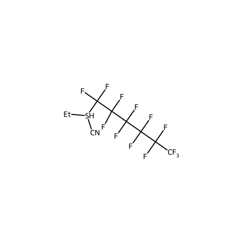 CC[SH](C#N)C(F)(F)C(F)(F)C(F)(F)C(F)(F)C(F)(F)C(F)(F)F